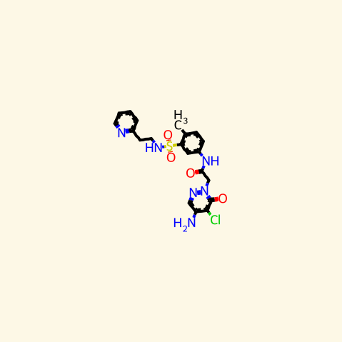 Cc1ccc(NC(=O)Cn2ncc(N)c(Cl)c2=O)cc1S(=O)(=O)NCCc1ccccn1